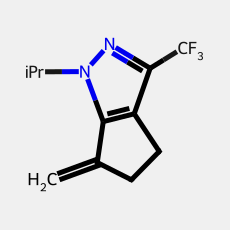 C=C1CCc2c(C(F)(F)F)nn(C(C)C)c21